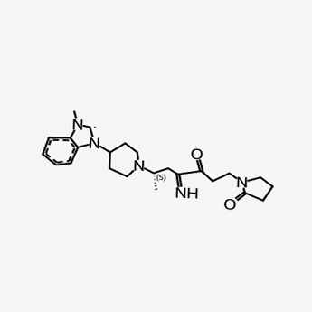 C[C@@H](CC(=N)C(=O)CCN1CCCC1=O)N1CCC(N2[CH]N(C)c3ccccc32)CC1